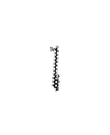 COc1ccc2cc(CC(=O)CCCCCCCCCCCCCCC(C)Br)ccc2c1